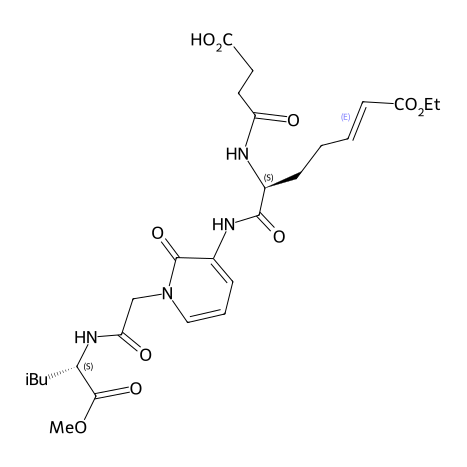 CCOC(=O)/C=C/CC[C@H](NC(=O)CCC(=O)O)C(=O)Nc1cccn(CC(=O)N[C@H](C(=O)OC)C(C)CC)c1=O